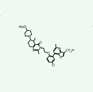 COC1CCN(C2CCc3nc(C)n(CCOc4ccc(Cl)cc4-c4cc(C)nc5c(C(=O)O)csc45)c(=O)c3C2C)CC1